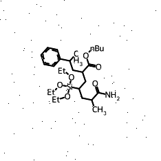 CCCCOC(=O)C(CC(C)c1ccccc1)CC(CC(C)C(N)=O)[Si](OCC)(OCC)OCC